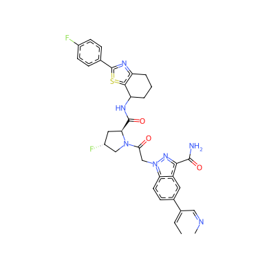 C/C=C(\C=N/C)c1ccc2c(c1)c(C(N)=O)nn2CC(=O)N1C[C@H](F)C[C@H]1C(=O)NC1CCCc2nc(-c3ccc(F)cc3)sc21